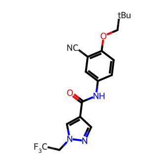 CC(C)(C)COc1ccc(NC(=O)c2cnn(CC(F)(F)F)c2)cc1C#N